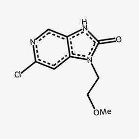 COCCn1c(=O)[nH]c2cnc(Cl)cc21